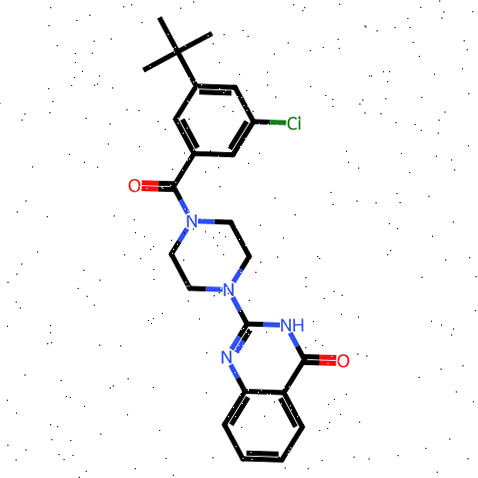 CC(C)(C)c1cc(Cl)cc(C(=O)N2CCN(c3nc4ccccc4c(=O)[nH]3)CC2)c1